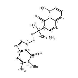 Cc1ccnc2nc(N)n(C(C)(C)CCn3cnc4nc(N)n(C(C)(C)C)c(=O)c43)c(=O)c12